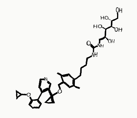 Cc1cc(COC2(c3cnccc3-c3ccccc3OC3CC3)CC2)c(C)cc1CCCCNC(=O)NC[C@H](O)[C@@H](O)[C@H](O)[C@H](O)CO